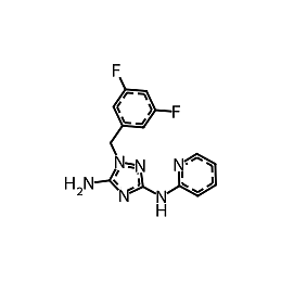 Nc1nc(Nc2ccccn2)nn1Cc1cc(F)cc(F)c1